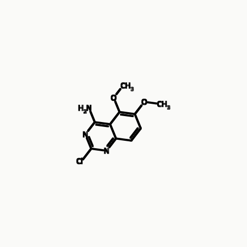 COc1ccc2nc(Cl)nc(N)c2c1OC